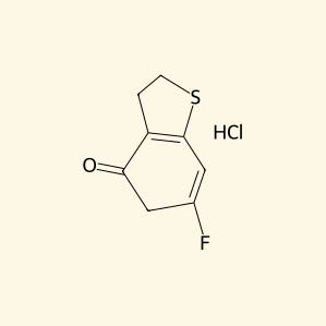 Cl.O=C1CC(F)=CC2=C1CCS2